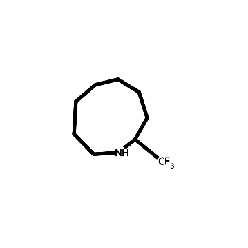 FC(F)(F)C1CCCCCCCN1